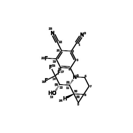 N#Cc1cc(N2CCC3C[C@@H]3[C@@H]2[C@H](O)C(F)(F)F)cc(F)c1C#N